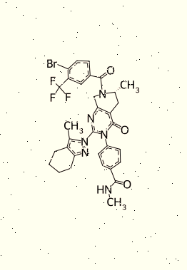 CNC(=O)c1ccc(-n2c(-n3nc4c(c3C)CCCC4)nc3c(c2=O)C[C@@H](C)N(C(=O)c2ccc(Br)c(C(F)(F)F)c2)C3)cc1